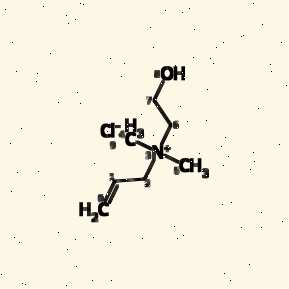 C=CC[N+](C)(C)CCO.[Cl-]